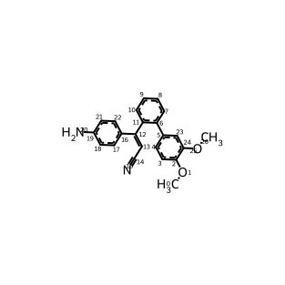 COc1ccc(-c2ccccc2C(=CC#N)c2ccc(N)cc2)cc1OC